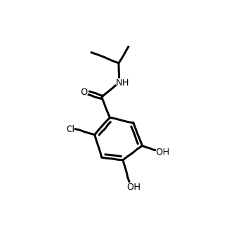 CC(C)NC(=O)c1cc(O)c(O)cc1Cl